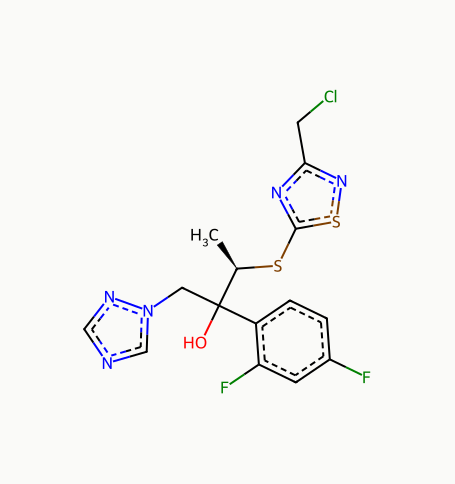 C[C@@H](Sc1nc(CCl)ns1)C(O)(Cn1cncn1)c1ccc(F)cc1F